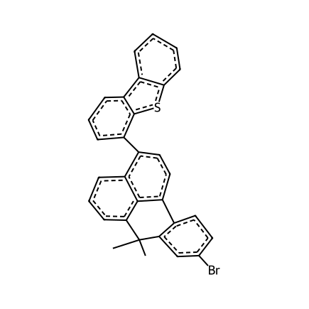 CC1(C)c2cc(Br)ccc2-c2ccc(-c3cccc4c3sc3ccccc34)c3cccc1c23